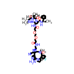 CC[C@H](NC(=O)[C@H]1C[C@@H](NC(=O)CCOCCOCCC(=O)NCCn2nc(C#N)c3c2CN(C)C(=O)c2ccc(F)cc2[C@H]2CCCN2c2cc-3cnc2N)CN1C(=O)[C@H](NC(=O)[C@@H](C)NC)C(C)(C)C)c1ccccc1